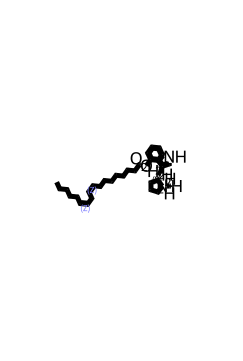 [2H]C([2H])(c1c[nH]c2cccc(OC(=O)CCCCCCC/C=C\C/C=C\CCCCC)c12)[C@H]1CCCN1C([2H])([2H])[2H]